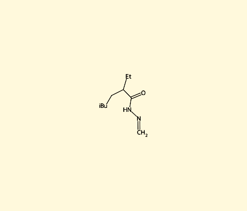 C=NNC(=O)C(CC)CC(C)CC